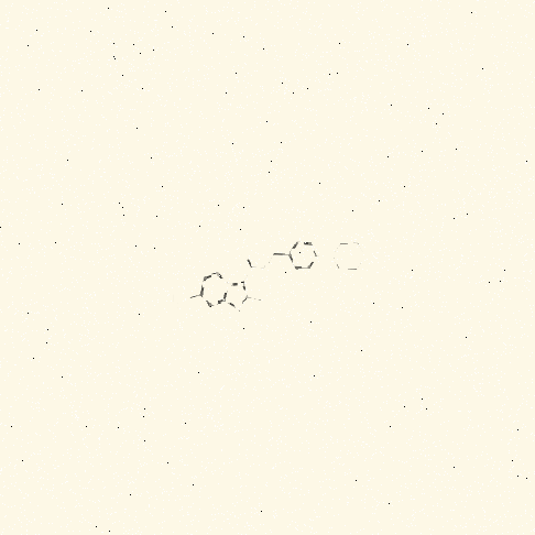 Cc1ccn2c(C(=O)NCc3ccc(N4CCSCC4)c(F)c3)c(C)nc2c1